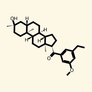 CCc1cc(OC)cc(C(=O)[C@H]2CC[C@H]3[C@@H]4CC[C@H]5C[C@](C)(O)CC[C@]5(C)[C@H]4CC[C@]23C)c1